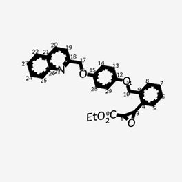 CCOC(=O)C1OC1c1ccccc1COc1ccc(OCc2ccc3ccccc3n2)cc1